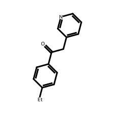 CCc1ccc(C(=O)Cc2cccnc2)cc1